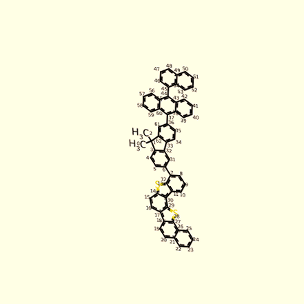 CC1(C)c2ccc(-c3cccc4c3sc3ccc5c6ccc7ccccc7c6sc5c34)cc2-c2ccc(-c3c4ccccc4c(-c4cccc5ccccc45)c4ccccc34)cc21